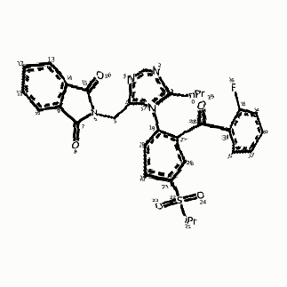 CCCc1nnc(CN2C(=O)c3ccccc3C2=O)n1-c1ccc(S(=O)(=O)C(C)C)cc1C(=O)c1ccccc1F